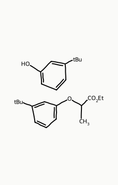 CC(C)(C)c1cccc(O)c1.CCOC(=O)C(C)Oc1cccc(C(C)(C)C)c1